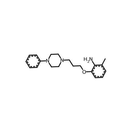 Cc1cccc(OCCCN2CCN(c3ccccc3)CC2)c1N